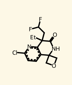 CCC1(CC(F)F)C(=O)NC2(COC2)c2ccc(Cl)nc21